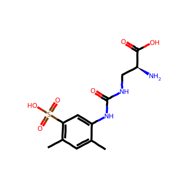 Cc1cc(C)c(S(=O)(=O)O)cc1NC(=O)NC[C@H](N)C(=O)O